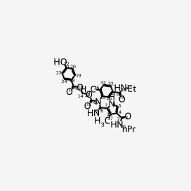 CCCNC(=O)c1c[nH]c(C(=N)N(C(=O)OCOC(=O)c2ccc(O)cc2)c2cc(C(=O)NCC)ccc2C)c1C